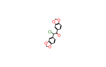 O=C(c1ccc2c(c1)OCO2)C(Cl)c1ccc2c(c1)OCO2